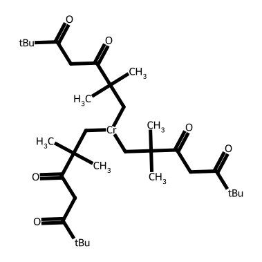 CC(C)(C)C(=O)CC(=O)C(C)(C)[CH2][Cr]([CH2]C(C)(C)C(=O)CC(=O)C(C)(C)C)[CH2]C(C)(C)C(=O)CC(=O)C(C)(C)C